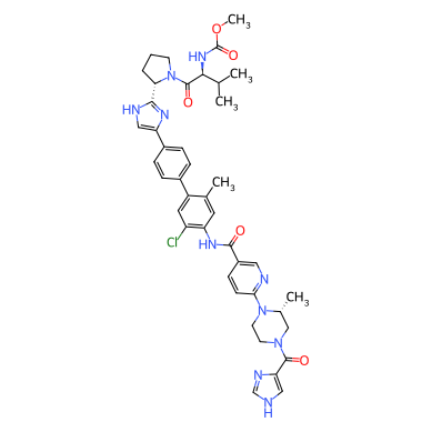 COC(=O)N[C@H](C(=O)N1CCC[C@H]1c1nc(-c2ccc(-c3cc(Cl)c(NC(=O)c4ccc(N5CCN(C(=O)c6c[nH]cn6)C[C@H]5C)nc4)cc3C)cc2)c[nH]1)C(C)C